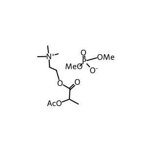 CC(=O)OC(C)C(=O)OCC[N+](C)(C)C.COP(=O)([O-])OC